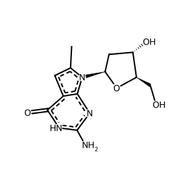 Cc1cc2c(=O)[nH]c(N)nc2n1[C@H]1C[C@H](O)[C@@H](CO)O1